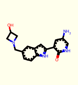 Nc1c[nH]c(=O)c(-c2cc3cc(CN4CC(O)C4)ccc3[nH]2)c1